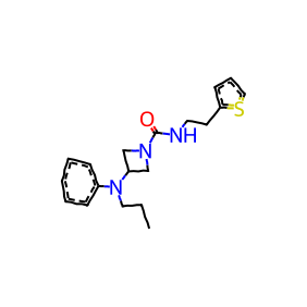 CCCN(c1ccccc1)C1CN(C(=O)NCCc2cccs2)C1